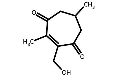 CC1=C(CO)C(=O)CC(C)CC1=O